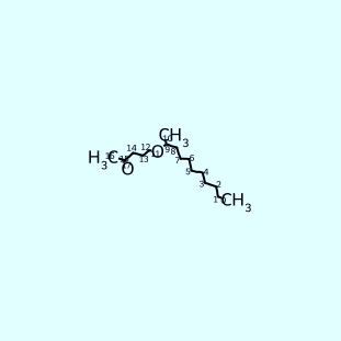 CCCCCCCCCC(C)OCCCC(C)=O